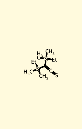 CC[Si](C)(C)C(=C=S)[Si](C)(C)CC